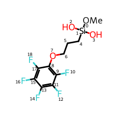 CO[Si](O)(O)CCCOc1c(F)c(F)c(F)c(F)c1F